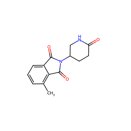 Cc1cccc2c1C(=O)N(C1CCC(=O)NC1)C2=O